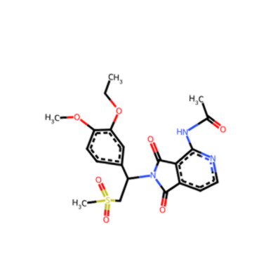 CCOc1cc(C(CS(C)(=O)=O)N2C(=O)c3ccnc(NC(C)=O)c3C2=O)ccc1OC